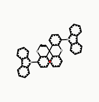 c1ccc2c(c1)Oc1c(-n3c4ccccc4c4ccccc43)cccc1C21c2ccccc2Oc2c(-n3c4ccccc4c4ccccc43)cccc21